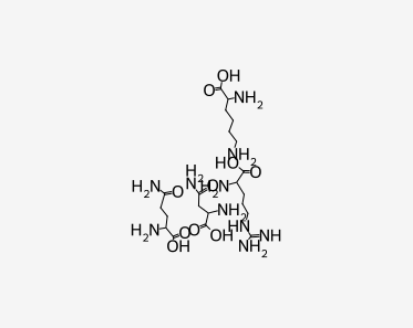 N=C(N)NCCCC(N)C(=O)O.NC(=O)CC(N)C(=O)O.NC(=O)CCC(N)C(=O)O.NCCCCC(N)C(=O)O